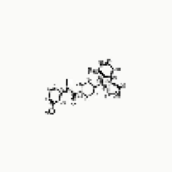 COc1cccc(NC(=O)C2CCC(C3c4c(F)cccc4-c4cncn43)CC2)c1